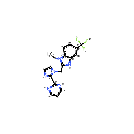 CCn1c(Cn2ccnc2-c2ncccn2)nc2cc(C(F)(F)F)ccc21